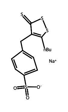 CCCCc1ssc(=S)c1Cc1ccc(S(=O)(=O)[O-])cc1.[Na+]